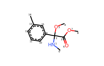 CNC(OC)(C(=O)OC)c1cccc(C)c1